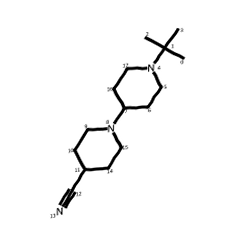 CC(C)(C)N1CCC(N2CCC(C#N)CC2)CC1